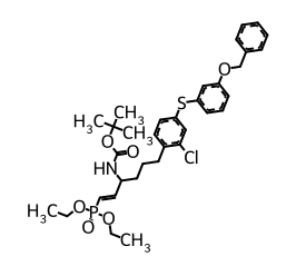 CCOP(=O)(/C=C/C(CCCc1ccc(Sc2cccc(OCc3ccccc3)c2)cc1Cl)NC(=O)OC(C)(C)C)OCC